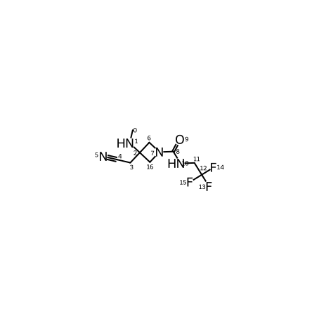 CNC1(CC#N)CN(C(=O)NCC(F)(F)F)C1